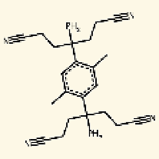 Cc1cc(C(P)(CCC#N)CCC#N)c(C)cc1C(P)(CCC#N)CCC#N